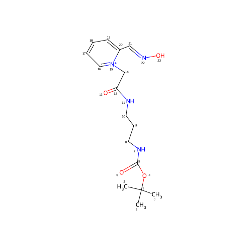 CC(C)(C)OC(=O)NCCCNC(=O)C[n+]1ccccc1/C=N/O